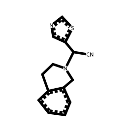 N#CC(c1cncs1)N1CCc2ccccc2C1